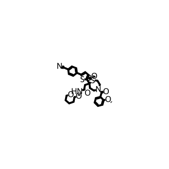 COc1ccccc1C(=O)N1CCC(CC(=O)NOC2CCCCO2)(c2ccc(-c3ccc(C#N)cc3)s2)S(=O)(=O)CC1